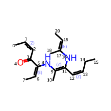 C/C=C\C(=O)/C(=C\C)N/C(C)=C(/C=C\CC)N/C(C)=C/C